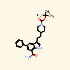 CC(C)(C)OC(=O)N1CCC(CCc2c[nH]c3c(C(N)=O)cc(-c4ccccc4)cc23)CC1